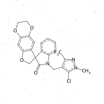 Cn1nc(C(F)(F)F)c(CN2C(=O)C3(COc4cc5c(cc43)OCCO5)c3ccccc32)c1Cl